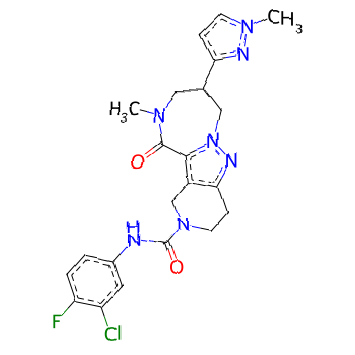 CN1CC(c2ccn(C)n2)Cn2nc3c(c2C1=O)CN(C(=O)Nc1ccc(F)c(Cl)c1)CC3